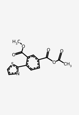 COC(=O)c1cc(C(=O)OC(C)=O)ccc1-c1nccs1